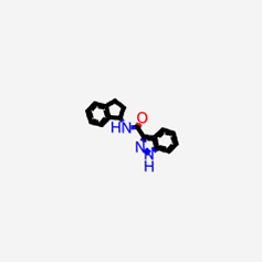 O=C(NC1CCc2ccccc21)c1n[nH]c2ccccc12